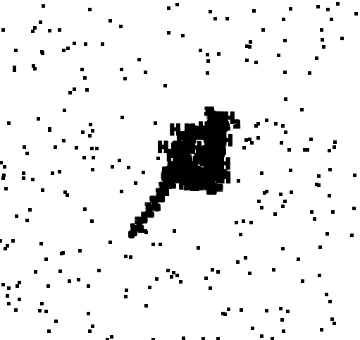 CCCCCCCCCCCCCCCC(=O)N[C@H](C(=O)N[C@@H](CCCNC(=N)N)C(=O)N1CCC[C@H]1C(=O)N[C@H](C(=O)N[C@@H](C)C(=O)N[C@@H](CC(N)=O)C(=O)N[C@@H](C)C(=O)N[C@@H](CCCNC(=N)N)C(=O)N[C@@H](CC(C)C)C(N)=O)C(C)C)C(C)C